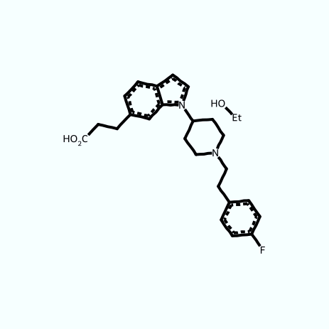 CCO.O=C(O)CCc1ccc2ccn(C3CCN(CCc4ccc(F)cc4)CC3)c2c1